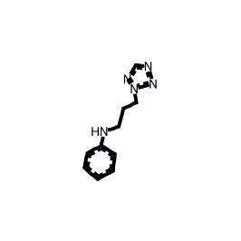 c1ccc(NCCCn2ncnn2)cc1